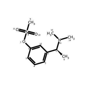 C[C@@H](c1cccc(OS(C)(=O)=O)c1)N(C)C